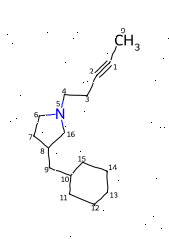 CC#CCCN1CCC(CC2CCCCC2)C1